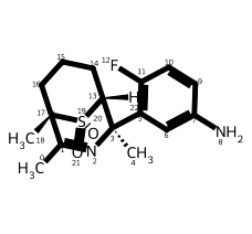 CC1=N[C@](C)(c2cc(N)ccc2F)[C@H]2CCC[C@]1(C)S2(=O)=O